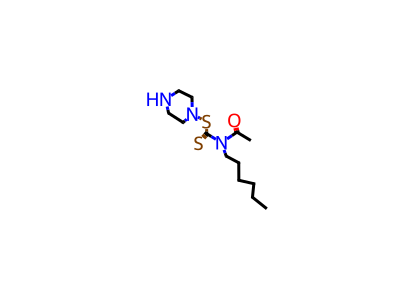 CCCCCCN(C(C)=O)C(=S)SN1CCNCC1